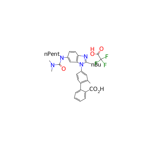 CCCCCN(C(=O)N(C)C)c1ccc2nc(CCCC)n(-c3ccc(-c4ccccc4C(=O)O)c(C)c3)c2c1.O=C(O)C(F)(F)F